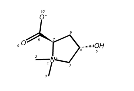 C[N+]1(C)C[C@@H](O)C[C@@H]1C(=O)[O-]